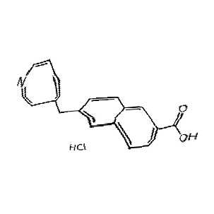 Cl.O=C(O)c1ccc2cc(Cc3cccnc3)ccc2c1